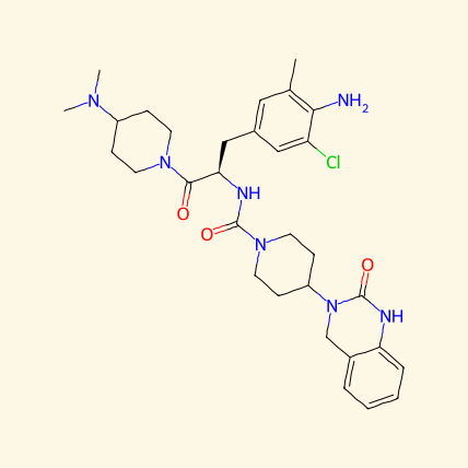 Cc1cc(C[C@@H](NC(=O)N2CCC(N3Cc4ccccc4NC3=O)CC2)C(=O)N2CCC(N(C)C)CC2)cc(Cl)c1N